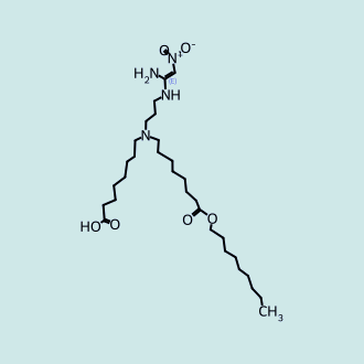 CCCCCCCCCOC(=O)CCCCCCCN(CCCCCCCC(=O)O)CCCN/C(N)=C/[N+](=O)[O-]